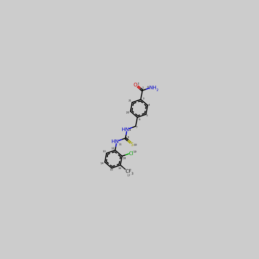 NC(=O)c1ccc(CNC(=S)Nc2cccc(C(F)(F)F)c2Cl)cc1